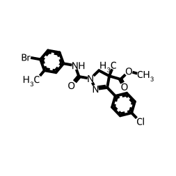 COC(=O)C1(C)CN(C(=O)Nc2ccc(Br)c(C)c2)N=C1c1ccc(Cl)cc1